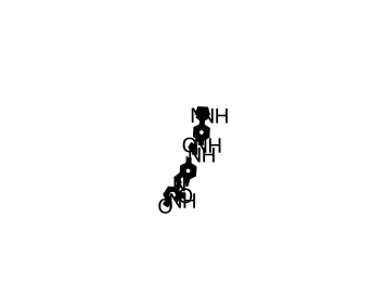 O=C1CCC(N2Cc3ccc(CNC(=O)Nc4ccc(-c5ncc[nH]5)cc4)cc3C2)C(=O)N1